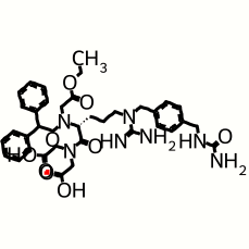 CCOC(=O)CN(C(=O)C(c1ccccc1)c1ccccc1)[C@H](CCCN(Cc1ccc(CNC(N)=O)cc1)C(=N)N)C(=O)N(CC(=O)O)CC(=O)O